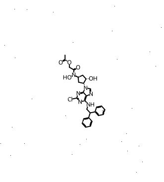 CC(=O)OCC(=O)N(O)C1C[C@@H](n2cnc3c(NCC(c4ccccc4)c4ccccc4)nc(Cl)nc32)[C@@H](O)C1